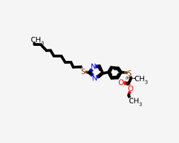 CCCCCCCCCCCSc1ncc(-c2ccc(S[C@H](C)C(=O)OCC)cc2)cn1